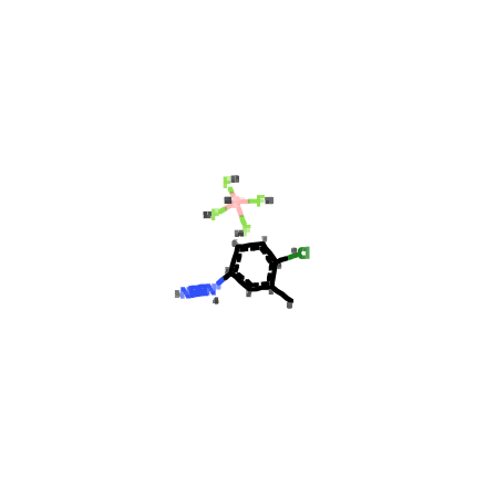 Cc1cc([N+]#N)ccc1Cl.F[B-](F)(F)F